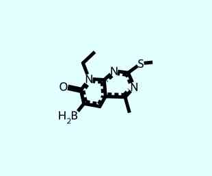 Bc1cc2c(C)nc(SC)nc2n(CC)c1=O